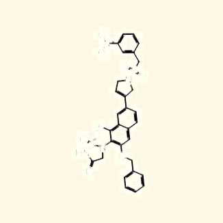 O=C1CN(c2c(OCc3ccccc3)cc3ccc(C4=CCN(S(=O)(=O)Cc5cccc([N+](=O)[O-])c5)C4)cc3c2F)S(=O)(=O)N1